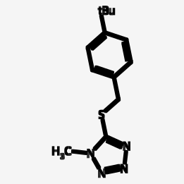 Cn1nnnc1SCc1ccc(C(C)(C)C)cc1